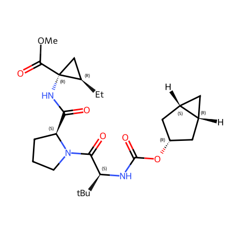 CC[C@@H]1C[C@]1(NC(=O)[C@@H]1CCCN1C(=O)[C@@H](NC(=O)O[C@@H]1C[C@@H]2C[C@@H]2C1)C(C)(C)C)C(=O)OC